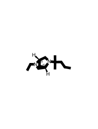 CCCC(C)(C)N1C[C@@H]2C[C@H]1CN2CC